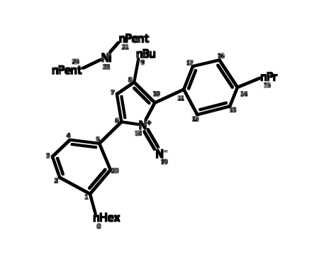 CCCCCCc1cccc(C2=CC(CCCC)=C(c3ccc(CCC)cc3)[N+]2=[N-])c1.CCCC[CH2][Ni][CH2]CCCC